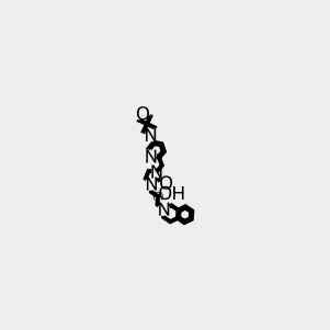 O=C1N(Cc2ccc(N3CC4(COC4)C3)cn2)CCN1C[C@H](O)CN1CCc2ccccc2C1